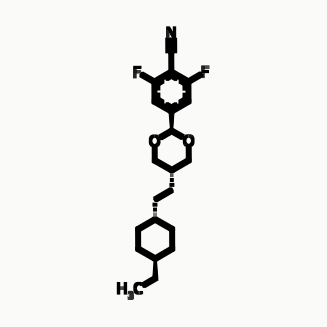 CC[C@H]1CC[C@H](CC[C@H]2CO[C@H](c3cc(F)c(C#N)c(F)c3)OC2)CC1